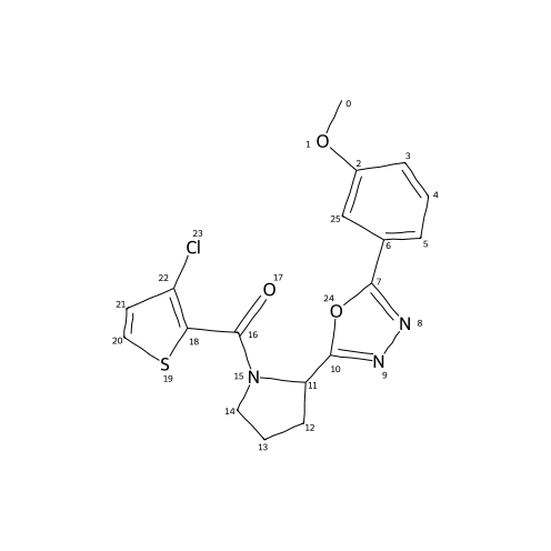 COc1cccc(-c2nnc(C3CCCN3C(=O)c3sccc3Cl)o2)c1